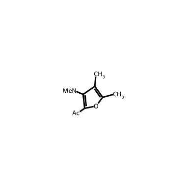 CNc1c(C(C)=O)oc(C)c1C